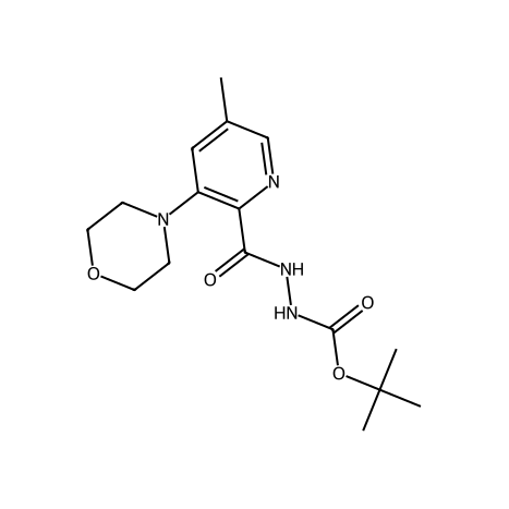 Cc1cnc(C(=O)NNC(=O)OC(C)(C)C)c(N2CCOCC2)c1